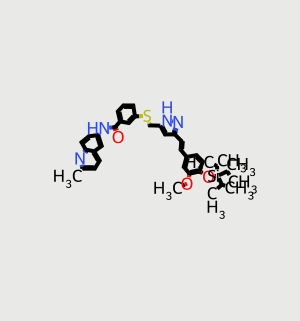 COc1cc(C=Cc2cc(CSc3cccc(C(=O)Nc4ccc5nc(C)ccc5c4)c3)[nH]n2)ccc1O[Si](C(C)C)(C(C)C)C(C)C